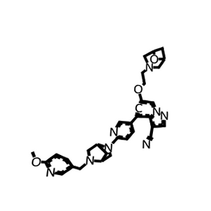 COc1ccc(CN2CC3CC2CN3c2ccc(-c3cc(OCCN4CC5CC(C4)O5)cn4ncc(C#N)c34)cn2)cn1